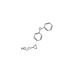 O=C(O)[C@@H]1C[C@H]1c1ccc(Oc2ccccc2)cc1